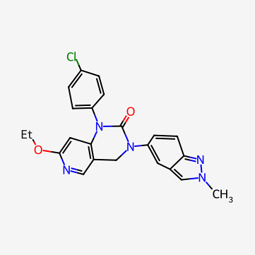 CCOc1cc2c(cn1)CN(c1ccc3nn(C)cc3c1)C(=O)N2c1ccc(Cl)cc1